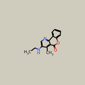 CCNc1cnc2c(c1C)c(=O)oc1ccccc12